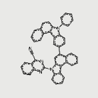 N#Cc1nc(-n2c3ccccc3c3c4ccccc4c(-c4ccc5c(c4)c4c6ccccc6ccc4n5-c4ccccc4)cc32)nc2ccccc12